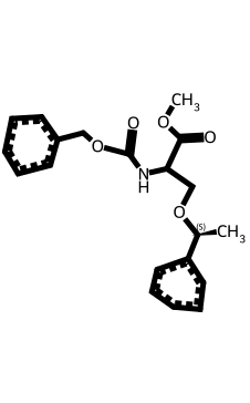 COC(=O)C(CO[C@@H](C)c1ccccc1)NC(=O)OCc1ccccc1